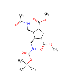 COC(=O)[C@H]1C[C@@H](C(=O)OC)[C@H](CNC(C)=O)[C@@H]1CNC(=O)OC(C)(C)C